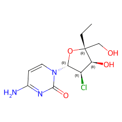 CC[C@]1(CO)O[C@@H](n2ccc(N)nc2=O)[C@H](Cl)[C@@H]1O